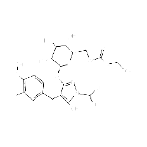 CCOC(=O)OC[C@H]1O[C@@H](Oc2nn(C(C)C)c(C)c2Cc2ccc(OC)c(F)c2)[C@H](O)[C@@H](O)[C@@H]1O